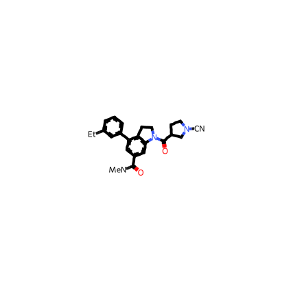 CCc1cccc(-c2cc(C(=O)NC)cc3c2CCN3C(=O)C2CCN(C#N)C2)c1